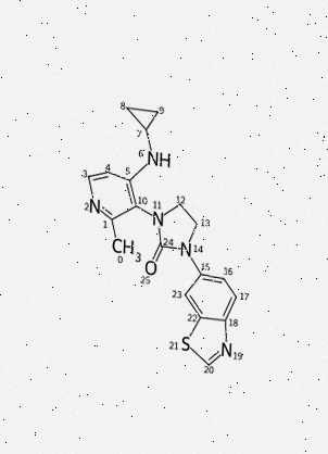 Cc1nccc(NC2CC2)c1N1CCN(c2ccc3ncsc3c2)C1=O